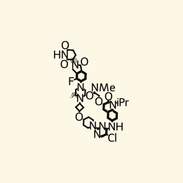 CNC(=O)COc1cc2cc(Nc3nc(N4CCC(OC5CC(N6CCN(c7ccc8c(c7F)CN([C@@H]7CCC(=O)NC7=O)C8=O)C[C@H]6C)C5)CC4)ncc3Cl)ccc2n(C(C)C)c1=O